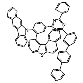 c1ccc(-c2ccc(-c3cccc(-c4nc(-c5ccccc5)nc(-c5ccc(-n6c7ccccc7c7cc8ccccc8cc76)c(-c6cccc7sc8ccc9ccccc9c8c67)c5)n4)c3)cc2)cc1